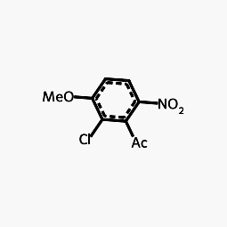 COc1ccc([N+](=O)[O-])c(C(C)=O)c1Cl